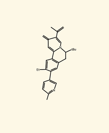 C=C(C)C1=CN2C(=CC1=C)c1cc(CC)c(-c3ccc(C)nc3)cc1CC2C(C)(C)C